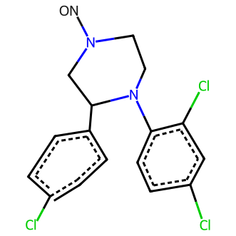 O=NN1CCN(c2ccc(Cl)cc2Cl)C(c2ccc(Cl)cc2)C1